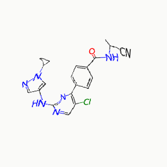 CC(C#N)NC(=O)c1ccc(-c2nc(Nc3cnn(C4CC4)c3)ncc2Cl)cc1